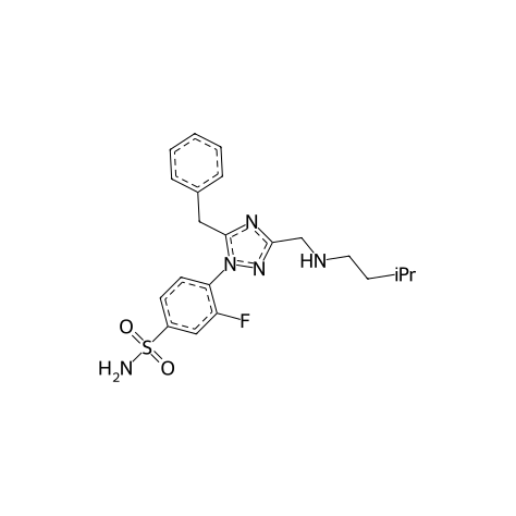 CC(C)CCNCc1nc(Cc2ccccc2)n(-c2ccc(S(N)(=O)=O)cc2F)n1